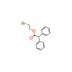 O=C(OCCBr)C(c1ccccc1)c1ccccc1